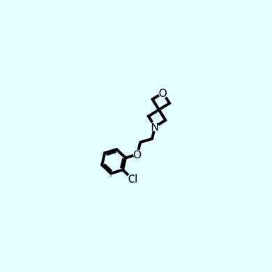 Clc1[c]cccc1OCCN1CC2(COC2)C1